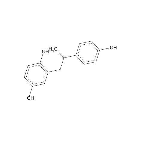 CC(Cc1cc(O)ccc1O)c1ccc(O)cc1